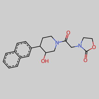 O=C(CN1CCOC1=O)N1CCC(c2ccc3ccccc3c2)C(O)C1